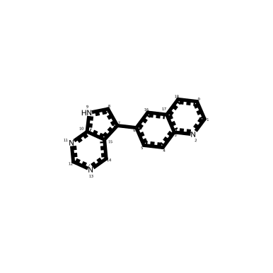 c1cnc2ccc(-c3c[nH]c4ncncc34)cc2c1